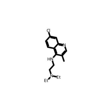 CCN(CC)CCNc1c(C)cnc2cc(Cl)ccc12